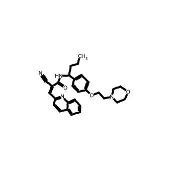 CCCC(NC(=O)C(C#N)=Cc1ccc2ccccc2n1)c1ccc(OCCN2CCOCC2)cc1